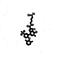 CCN(CC)CCCCNC(=O)c1cc2c(-c3cc(S(C)(=O)=O)ccc3Oc3c(C)cccc3C)cn(C)c(=O)c2[nH]1